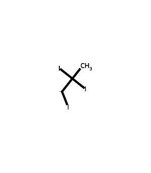 CC(I)(I)[CH]I